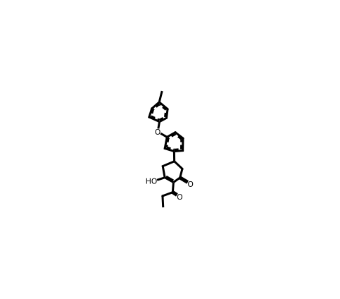 CCC(=O)C1=C(O)CC(c2cccc(Oc3ccc(C)cc3)c2)CC1=O